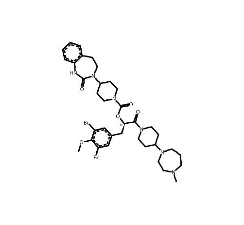 COc1c(Br)cc(C[C@@H](OC(=O)N2CCC(N3CCc4ccccc4NC3=O)CC2)C(=O)N2CCC(N3CCCN(C)CC3)CC2)cc1Br